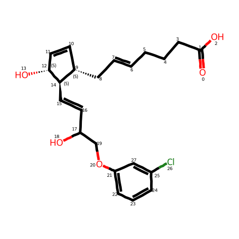 O=C(O)CCCC=CC[C@H]1C=C[C@@H](O)[C@@H]1C=CC(O)COc1cccc(Cl)c1